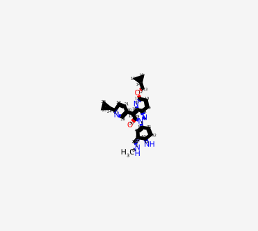 CN/C=C1/C=C(n2nc3ccc(OCC4CC4)nc3c(-c3ccc(C4CC4)nc3)c2=O)C=CC1=N